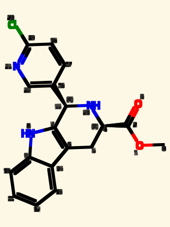 COC(=O)[C@H]1Cc2c([nH]c3ccccc23)[C@@H](c2ccc(Cl)nc2)N1